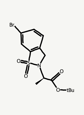 C[C@H](C(=O)OC(C)(C)C)N1Cc2ccc(Br)cc2S1(=O)=O